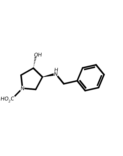 O=C(O)N1C[C@H](NCc2ccccc2)[C@@H](O)C1